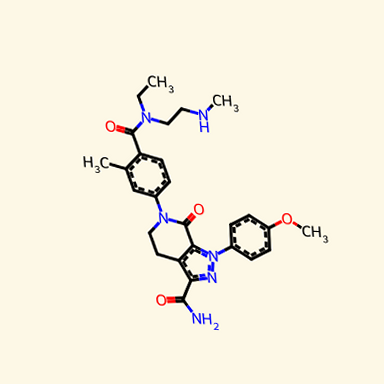 CCN(CCNC)C(=O)c1ccc(N2CCc3c(C(N)=O)nn(-c4ccc(OC)cc4)c3C2=O)cc1C